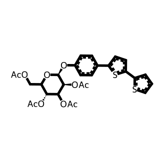 CC(=O)OCC1O[C@@H](Oc2ccc(-c3ccc(-c4cccs4)s3)cc2)[C@@H](OC(C)=O)C(OC(C)=O)[C@@H]1OC(C)=O